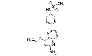 CCOc1nc(N)nc2ccc(-c3ccc(NS(C)(=O)=O)cc3)nc12